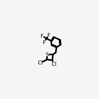 FC(F)(F)c1cccc([CH]C2SC(Cl)C2Cl)c1